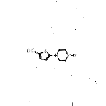 O=Cc1ccc(N2CC[S+]([O-])CC2)s1